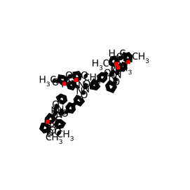 COc1ccc(P(=O)(c2ccc(OC)cc2)c2c(F)ccc(-c3nc(Oc4ccc(-c5ccc(Oc6nc(Oc7ccccc7)nc(-c7ccc(F)c(P(=O)(c8ccccc8OC)c8ccccc8OC)c7F)n6)cc5)cc4)nc(Oc4cccc(-c5ccc(Oc6nc(Oc7ccccc7)nc(-c7ccc(F)c(P(=O)(c8ccc(C)cc8C)c8ccc(C)cc8C)c7F)n6)cc5)c4)n3)c2F)cc1